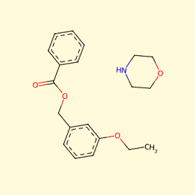 C1COCCN1.CCOc1cccc(COC(=O)c2ccccc2)c1